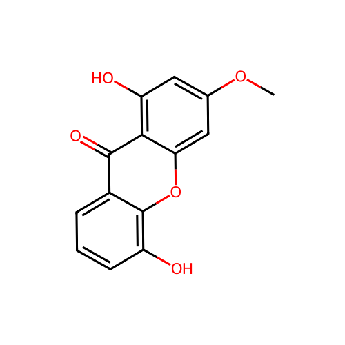 COc1cc(O)c2c(=O)c3cccc(O)c3oc2c1